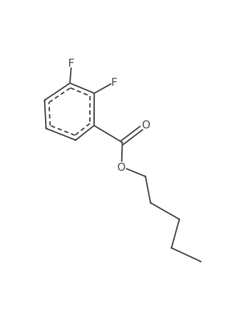 CCCCCOC(=O)c1cccc(F)c1F